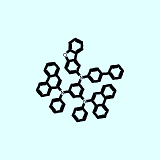 c1ccc(-c2ccc(N(c3cc(N(c4ccccc4)c4cc5ccccc5c5ccccc45)cc(N(c4ccccc4)c4cc5ccccc5c5ccccc45)c3)c3ccc4oc5ccccc5c4c3)cc2)cc1